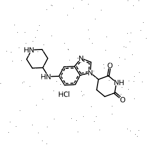 Cl.O=C1CCC(n2cnc3cc(NC4CCNCC4)ccc32)C(=O)N1